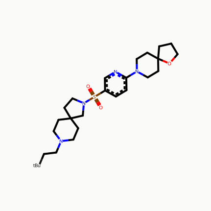 CC(C)(C)CCN1CCC2(CC1)CCN(S(=O)(=O)c1ccc(N3CCC4(CCCO4)CC3)nc1)C2